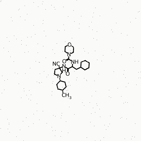 C[C@H]1CC[C@@H](N2CCC(C#N)(NC(=O)C(CC3CCCCC3)NC(=O)N3CCOCC3)C2)CC1